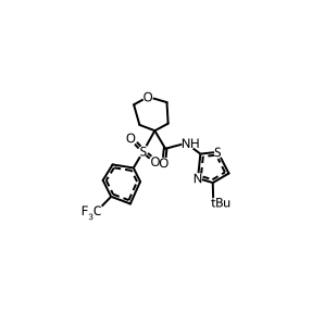 CC(C)(C)c1csc(NC(=O)C2(S(=O)(=O)c3ccc(C(F)(F)F)cc3)CCOCC2)n1